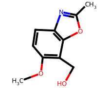 COc1ccc2nc(C)oc2c1CO